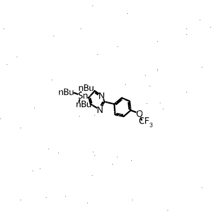 CCC[CH2][Sn]([CH2]CCC)([CH2]CCC)[c]1cnc(-c2ccc(OC(F)(F)F)cc2)nc1